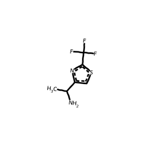 CC(N)c1csc(C(F)(F)F)n1